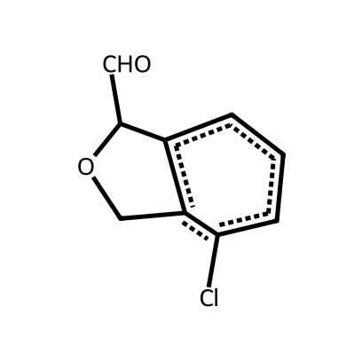 O=CC1OCc2c(Cl)cccc21